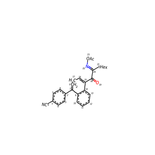 C=C(c1ccc(C#N)cc1)c1ccccc1/C(=C\C)C(=O)/C(CCCCCC)=N/OC(C)=O